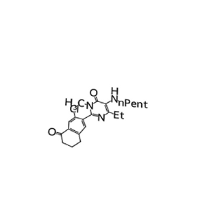 CCCCCNc1c(CC)nc(-c2cc3c(cc2Cl)C(=O)CCC3)n(C)c1=O